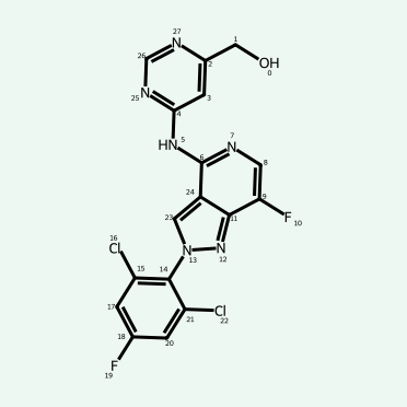 OCc1cc(Nc2ncc(F)c3nn(-c4c(Cl)cc(F)cc4Cl)cc23)ncn1